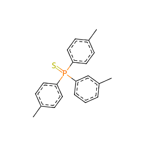 Cc1ccc(P(=S)(c2ccc(C)cc2)c2cccc(C)c2)cc1